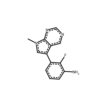 Cn1cc(-c2cccc(N)c2F)c2[c]ncnc21